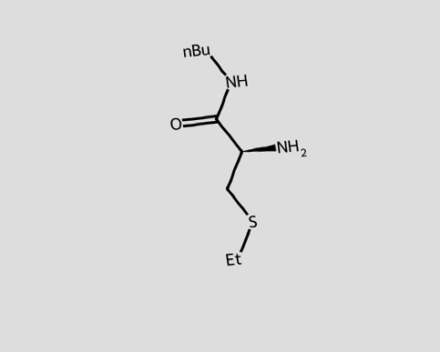 CCCCNC(=O)[C@@H](N)CSCC